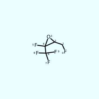 FCC1OC1(F)C(F)(F)F